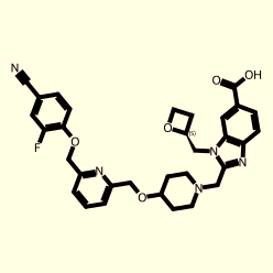 N#Cc1ccc(OCc2cccc(COC3CCN(Cc4nc5ccc(C(=O)O)cc5n4C[C@@H]4CCO4)CC3)n2)c(F)c1